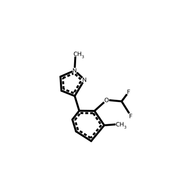 Cc1cccc(-c2ccn(C)n2)c1OC(F)F